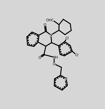 O=CC1CCCCC1N1C(=O)c2ccccc2C(C(=O)NOCc2ccccn2)C1c1ccc(Cl)cc1Cl